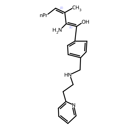 CCC/C=C(C)\C(N)=C(/O)c1ccc(CNCCc2ccccn2)cc1